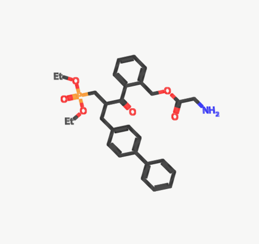 CCOP(=O)(CC(Cc1ccc(-c2ccccc2)cc1)C(=O)c1ccccc1COC(=O)CN)OCC